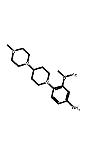 CC(=O)N(C)c1cc(N)ccc1N1CCC(N2CCN(C)CC2)CC1